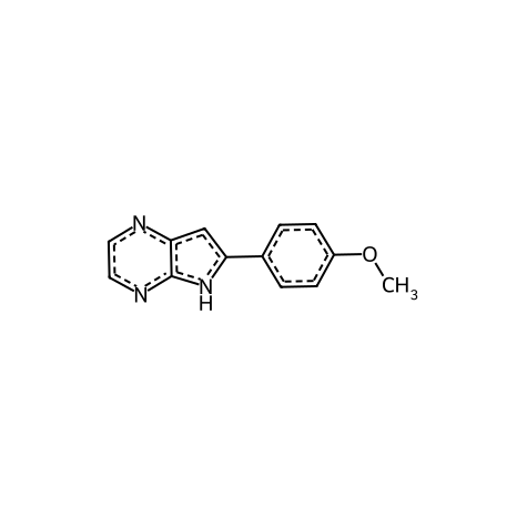 COc1ccc(-c2cc3nccnc3[nH]2)cc1